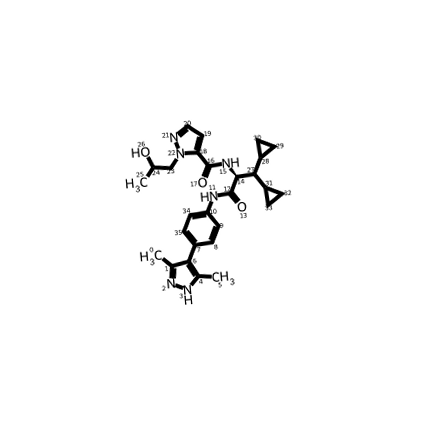 Cc1n[nH]c(C)c1-c1ccc(NC(=O)[C@@H](NC(=O)c2ccnn2CC(C)O)C(C2CC2)C2CC2)cc1